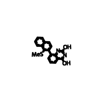 CSc1c(-c2cccc3c(O)nc(O)nc23)ccc2ccccc12